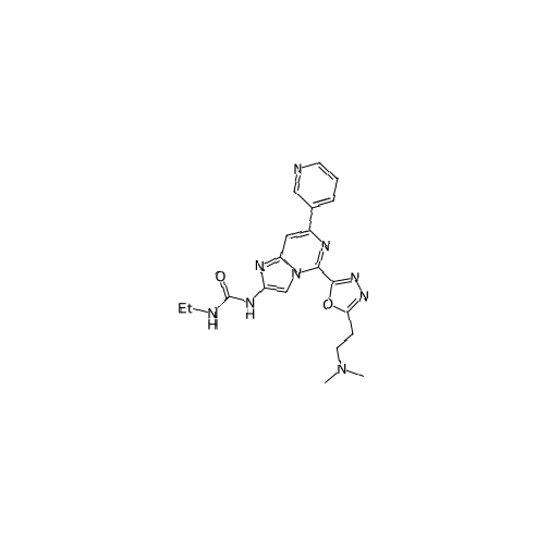 CCNC(=O)Nc1cn2c(-c3nnc(CCN(C)C)o3)nc(-c3cccnc3)cc2n1